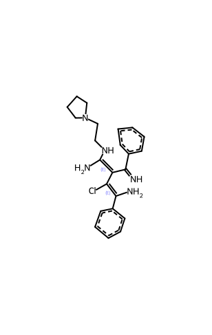 N=C(C(=C(/N)NCCN1CCCC1)/C(Cl)=C(\N)c1ccccc1)c1ccccc1